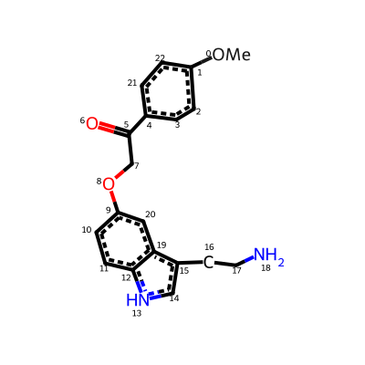 COc1ccc(C(=O)COc2ccc3[nH]cc(CCN)c3c2)cc1